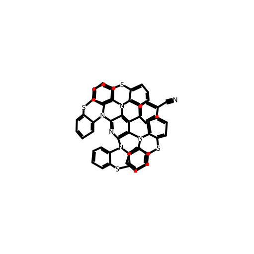 N#Cc1ccc(-c2c(N3c4ccccc4Sc4ccccc43)c(N3c4ccccc4Sc4ccccc43)nc(N3c4ccccc4Sc4ccccc43)c2N2c3ccccc3Sc3ccccc32)cc1